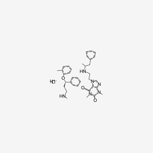 CC(Cc1ccccc1)NCCn1cnc2c1c(=O)n(C)c(=O)n2C.CNCC[C@@H](Oc1ccccc1C)c1ccccc1.[Cl-].[H+]